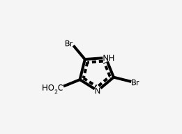 O=C(O)c1nc(Br)[nH]c1Br